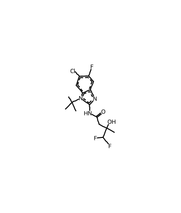 CC(O)(CC(=O)Nc1nc2cc(F)c(Cl)cc2n1C(C)(C)C)C(F)F